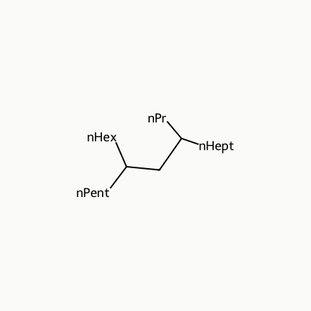 CCCCCCCC(CCC)CC(CCCCC)CCCCCC